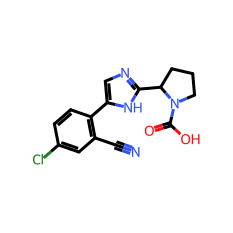 N#Cc1cc(Cl)ccc1-c1cnc(C2CCCN2C(=O)O)[nH]1